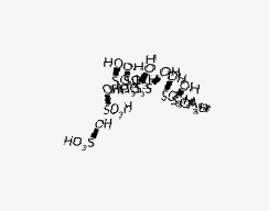 O=S(=O)(O)O.O=S(=O)(O)O.O=S(=O)(O)O.O=S(=O)(O)O.O=S(=O)(O)O.O=S(=O)(O)O.O=S(=O)(O)O.O=S(=O)(O)O.[Ag]